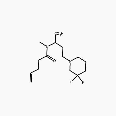 C=CCCC(=O)N(C)C(CCN1CCCC(F)(F)C1)C(=O)O